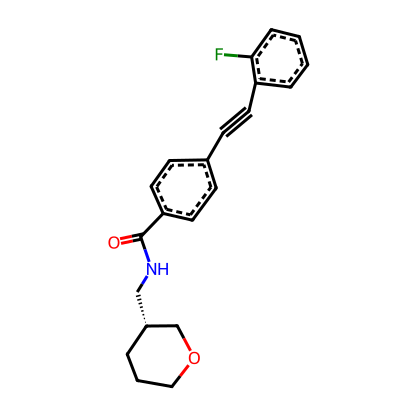 O=C(NC[C@H]1CCCOC1)c1ccc(C#Cc2ccccc2F)cc1